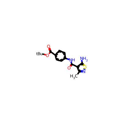 Cc1nsc(N)c1C(=O)Nc1ccc(C(=O)OC(C)(C)C)cc1